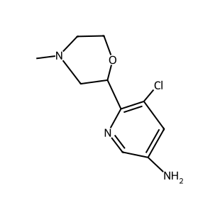 CN1CCOC(c2ncc(N)cc2Cl)C1